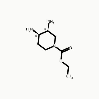 CCOC(=O)N1CC[C@@H](N)[C@@H](N)C1